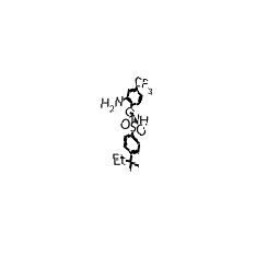 CCC(C)(C)c1ccc(S(=O)(=O)NOc2ccc(C(F)(F)F)cc2N)cc1